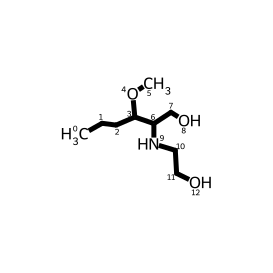 CCCC(OC)C(CO)NCCO